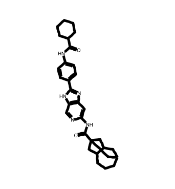 O=C(Nc1ccc(-c2nc3cc(NC(=O)C45CC6CCCC(C4)C(C6)C5)ncc3[nH]2)cc1)C1CCCCC1